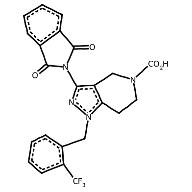 O=C(O)N1CCc2c(c(N3C(=O)c4ccccc4C3=O)nn2Cc2ccccc2C(F)(F)F)C1